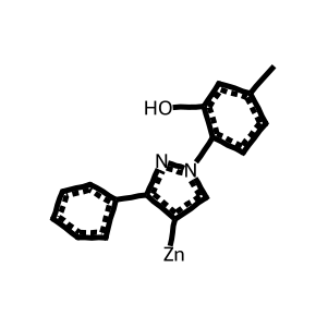 Cc1ccc(-n2c[c]([Zn])c(-c3ccccc3)n2)c(O)c1